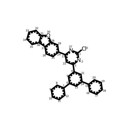 Clc1nc(-c2cc(-c3ccccc3)cc(-c3ccccc3)c2)cc(-c2ccc3c(c2)oc2ccccc23)n1